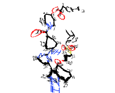 CCC(=O)OC1CCN(C(=O)C2CCC(Nc3nccc(-c4c[nH]c5cccc(OCCCS(C)(=O)=O)c45)n3)CC2)CC1